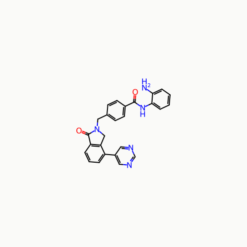 Nc1ccccc1NC(=O)c1ccc(CN2Cc3c(cccc3-c3cncnc3)C2=O)cc1